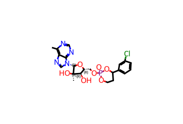 Cc1ncnc2c1ncn2[C@@H]1O[C@H](COP2(=O)OCCC(c3cccc(Cl)c3)O2)[C@@H](O)[C@@]1(C)O